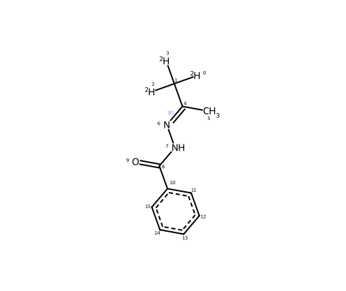 [2H]C([2H])([2H])/C(C)=N/NC(=O)c1ccccc1